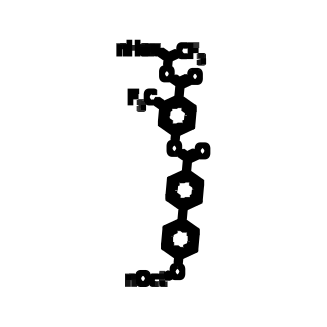 CCCCCCCCOc1ccc(-c2ccc(C(=O)Oc3ccc(C(=O)OC(CCCCCC)C(F)(F)F)c(C(F)(F)F)c3)cc2)cc1